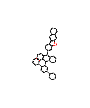 c1ccc(-c2ccc(-c3ccccc3)c(-c3c4ccccc4c(-c4ccc5c(c4)oc4cc6ccccc6cc45)c4ccccc34)c2)cc1